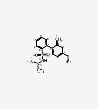 C=C1CC(CBr)=CC=C1c1ccccc1S(=O)(=O)NN(C)C